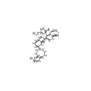 C=CC1=C(c2cc(C)ccc2F)C(c2ccc3c(n2)=CC(C2CCC/C=C(/CC(C)C)[C@@H](C)CC2)=CC=C=3)=CCC1=N